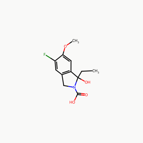 CCC1(O)c2cc(OC)c(F)cc2CN1C(=O)O